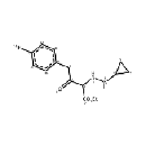 CCOC(=O)C(NNC1CC1)C(=O)Cc1ccc(F)cc1